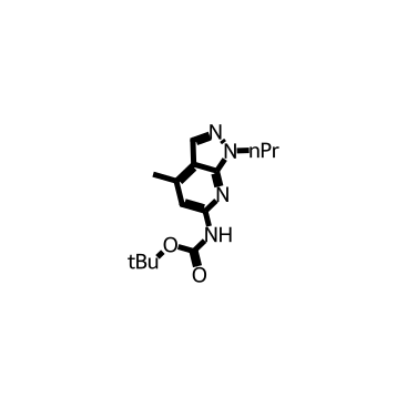 CCCn1ncc2c(C)cc(NC(=O)OC(C)(C)C)nc21